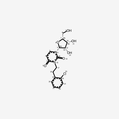 O=c1ccn([C@@H]2O[C@H](CO)[C@H](O)[C@@H]2O)c(=O)n1CCc1ccccc1Cl